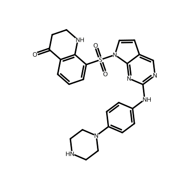 O=C1CCNc2c1cccc2S(=O)(=O)n1ccc2cnc(Nc3ccc(N4CCNCC4)cc3)nc21